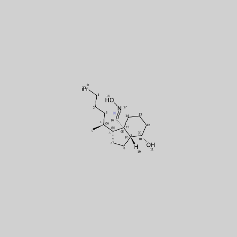 CC(C)CCC[C@H](C)[C@H]1CC[C@H]2[C@@H](O)CCC[C@]12/C=N/O